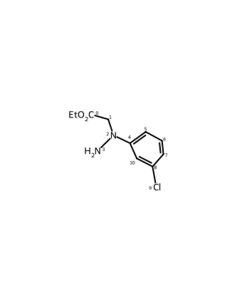 CCOC(=O)CN(N)c1cccc(Cl)c1